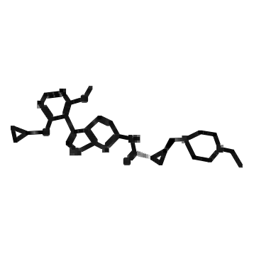 CCN1CCN(C[C@H]2C[C@@H]2C(=O)Nc2ccc3c(-c4c(OC)ncnc4OC4CC4)c[nH]c3n2)CC1